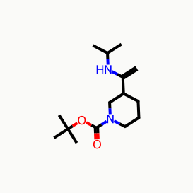 C=C(NC(C)C)C1CCCN(C(=O)OC(C)(C)C)C1